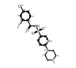 O=C(NS(=O)(=O)c1ccc(N2CCOCC2)nc1)c1ccc(Cl)cc1F